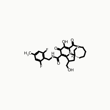 Cc1cc(F)c(CNC(=O)c2c3n4c(c(O)c2=O)C(=O)N2CCCC[C@@]4(CC3CO)C2)c(F)c1